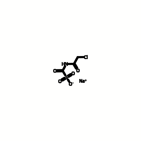 O=C(CCl)NC(=O)S(=O)(=O)[O-].[Na+]